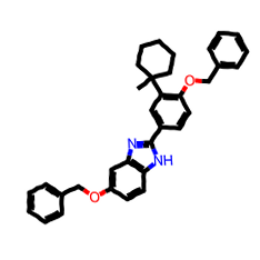 CC1(c2cc(-c3nc4cc(OCc5ccccc5)ccc4[nH]3)ccc2OCc2ccccc2)CCCCC1